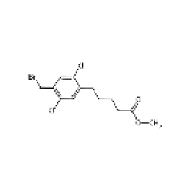 COC(=O)CCCCc1cc(Cl)c(CBr)cc1Cl